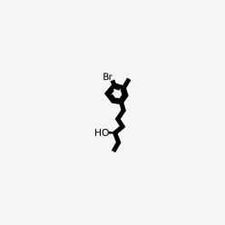 CC[C@@H](O)CCCc1ccc(Br)c(C)c1